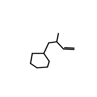 C=CC(C)CC1CCCCC1